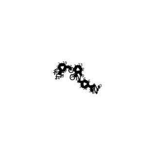 Cn1cc(-c2ccc(CN3Cc4cccc(OCc5cccc(C(F)(F)F)c5)c4C3=O)cc2)cn1